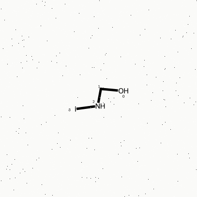 OCNI